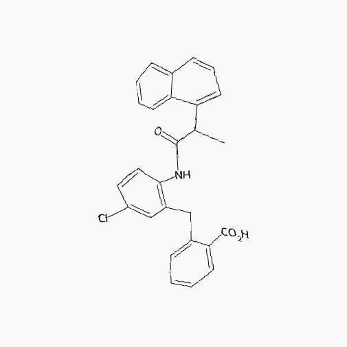 CC(C(=O)Nc1ccc(Cl)cc1Cc1ccccc1C(=O)O)c1cccc2ccccc12